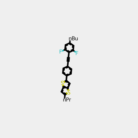 CCCCc1cc(F)c(C#Cc2ccc(-c3cc4sc(CCC)cc4s3)cc2)c(F)c1